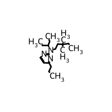 CCCc1ccnc(N(CCC(C)(C)CC)C(CC)CC)n1